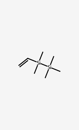 C=C[Si](C)(C)[Si](C)(C)C